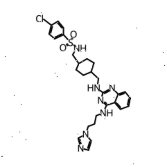 O=S(=O)(NCC1CCC(CNc2nc(NCCCn3ccnc3)c3ccccc3n2)CC1)c1ccc(Cl)cc1